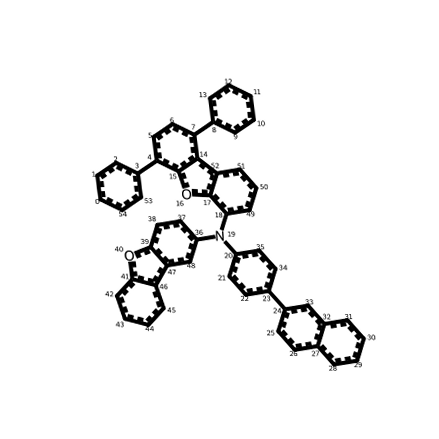 c1ccc(-c2ccc(-c3ccccc3)c3c2oc2c(N(c4ccc(-c5ccc6ccccc6c5)cc4)c4ccc5oc6ccccc6c5c4)cccc23)cc1